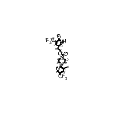 Cc1cc(C(F)(F)F)cnc1N1CCN(C(=O)OCCc2c[nH]c(=O)c(C(F)(F)F)c2)CC1